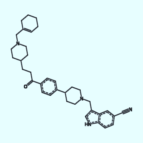 N#Cc1ccc2[nH]cc(CN3CCC(c4ccc(C(=O)CCC5CCN(CC6=CCCCC6)CC5)cc4)CC3)c2c1